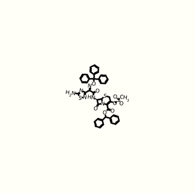 CS(=O)(=O)OC1=C(C(=O)OC(c2ccccc2)c2ccccc2)N2C(=O)[C@@H](NC(=O)/C(=N\OC(c3ccccc3)(c3ccccc3)c3ccccc3)c3nsc(N)n3)C2SC1